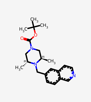 C[C@@H]1CN(C(=O)OC(C)(C)C)C[C@@H](C)N1Cc1ccc2cnccc2c1